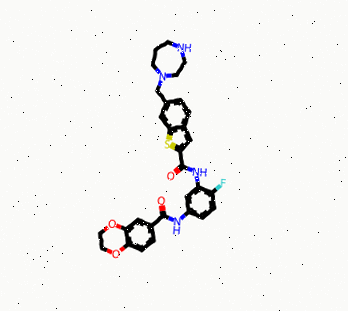 O=C(Nc1ccc(F)c(NC(=O)c2cc3ccc(CN4CCCNCC4)cc3s2)c1)c1ccc2c(c1)OCCO2